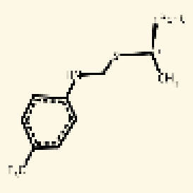 CCCCC[C@@H](C)SCNc1ccc(C(F)(F)F)cc1